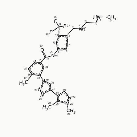 CNCCNCc1ccc(NC(=O)c2ccc(C)c(-n3cc(-c4cnn(C)c4C)nn3)c2)cc1C(F)(F)F